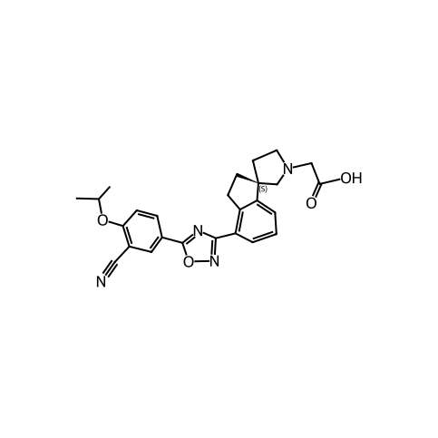 CC(C)Oc1ccc(-c2nc(-c3cccc4c3CC[C@]43CCN(CC(=O)O)C3)no2)cc1C#N